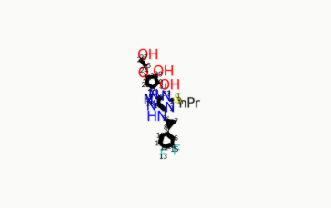 CCCSc1nc(NC2C[C@@H]2c2ccc(F)c(F)c2)c2nnn(C3C[C@H](OCCO)[C@@H](O)[C@H]3O)c2n1